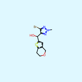 Cn1nc(Br)c(C(O)c2cc3c(s2)CCOC3)n1